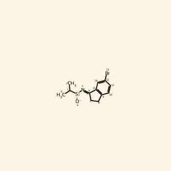 CC(C)[S@@+]([O-])/N=C1\CCc2ccc(Br)cc21